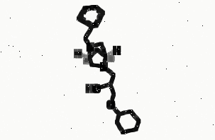 OC(COC1CCCCC1)CN1C[C@@H]2C[C@H]1CN2Cc1ccccc1